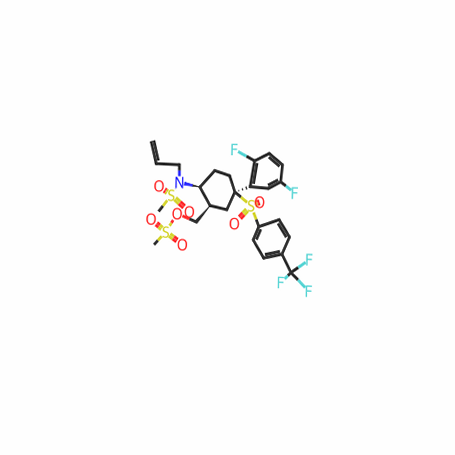 C=CCN([C@H]1CC[C@@](c2cc(F)ccc2F)(S(=O)(=O)c2ccc(C(F)(F)F)cc2)C[C@H]1COS(C)(=O)=O)S(C)(=O)=O